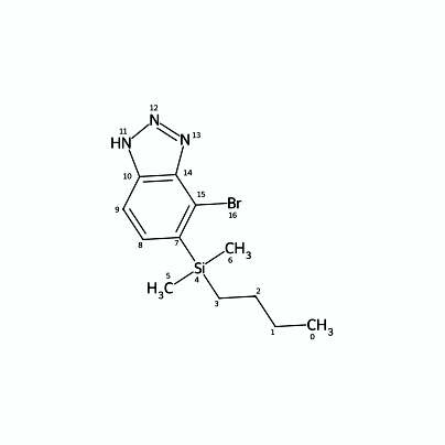 CCCC[Si](C)(C)c1ccc2[nH]nnc2c1Br